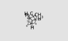 CC1(C)[C@H]2C[C@H]3C[C]3[C@H]1C2